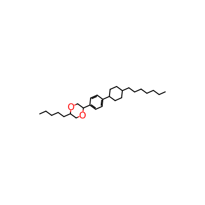 CCCCCCCC1CCC(c2ccc(C3COC(CCCCC)CO3)cc2)CC1